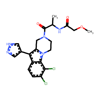 COCC(=O)NC(C)C(=O)N1CCn2c(c(-c3cn[nH]c3)c3ccc(Cl)c(Cl)c32)C1